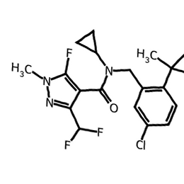 Cn1nc(C(F)F)c(C(=O)N(Cc2cc(Cl)ccc2C2(C)CC2)C2CC2)c1F